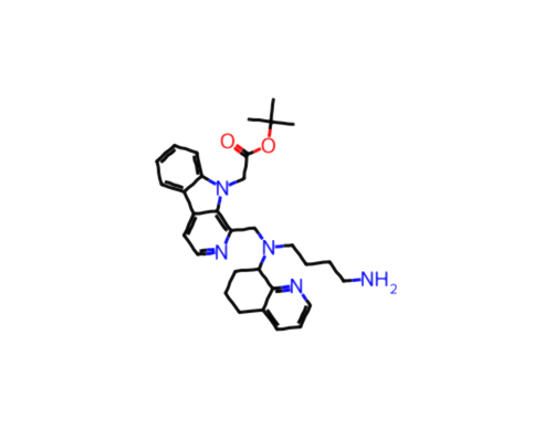 CC(C)(C)OC(=O)Cn1c2ccccc2c2ccnc(CN(CCCCN)C3CCCc4cccnc43)c21